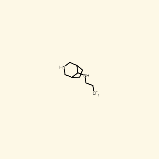 FC(F)(F)CCNC1C2CCC1CNC2